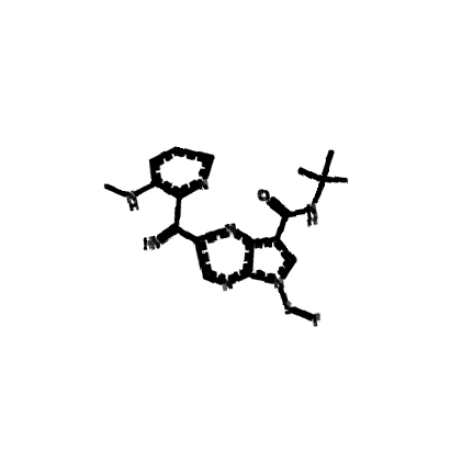 CNc1cccnc1C(=N)c1cnc2c(n1)c(C(=O)NC(C)(C)C)cn2SF